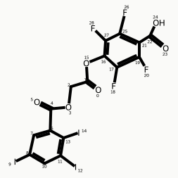 O=C(COC(=O)c1cc(I)cc(I)c1I)Oc1c(F)c(F)c(C(=O)O)c(F)c1F